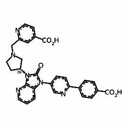 O=C(O)c1ccc(-c2ccc(-n3c(=O)n([C@H]4CCN(Cc5cc(C(=O)O)ccn5)C4)c4ncccc43)cn2)cc1